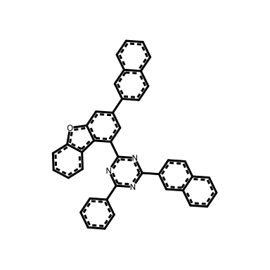 c1ccc(-c2nc(-c3ccc4ccccc4c3)nc(-c3cc(-c4ccc5ccccc5c4)cc4oc5ccccc5c34)n2)cc1